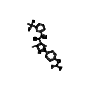 Cc1nn(-c2ccc(OC(F)F)cc2)[c]c1C(=O)Nc1cccc(C(C)(F)F)c1